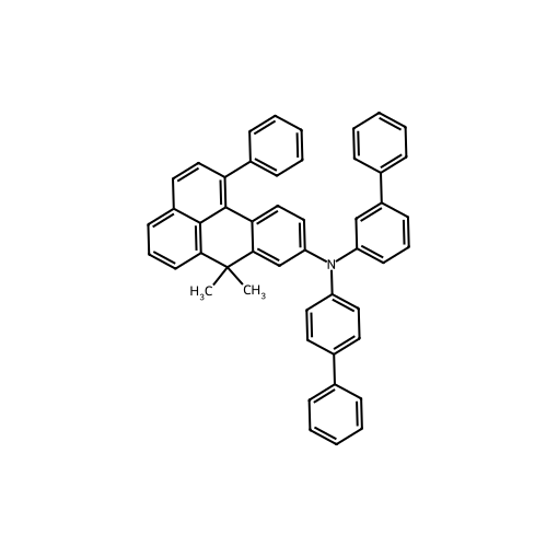 CC1(C)c2cc(N(c3ccc(-c4ccccc4)cc3)c3cccc(-c4ccccc4)c3)ccc2-c2c(-c3ccccc3)ccc3cccc1c23